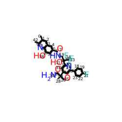 Cc1cc2cc(C(=O)NCC(O)(c3cc4c(c(-c5ccc(F)cc5)n3)OC[C@]4(C)C(N)=O)C(F)(F)F)cc(O)c2nc1C